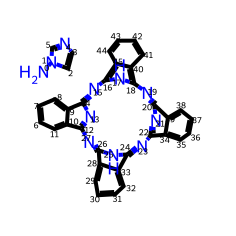 Nn1ccnc1.c1ccc2c(c1)-c1nc-2nc2[nH]c(nc3nc(nc4[nH]c(n1)c1ccccc41)-c1ccccc1-3)c1ccccc21